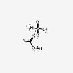 CC(=O)O.NS(=O)(=O)O.[KH]